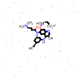 C#Cc1cccc(Nc2c(C#N)cnc3cc(OCC)c(NC(=O)C=CCN(C)C)cc23)c1.O=C(O)/C=C\C(=O)O